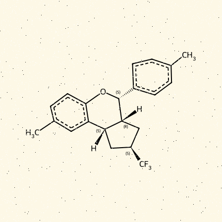 Cc1ccc([C@H]2Oc3ccc(C)cc3[C@H]3C[C@H](C(F)(F)F)C[C@H]32)cc1